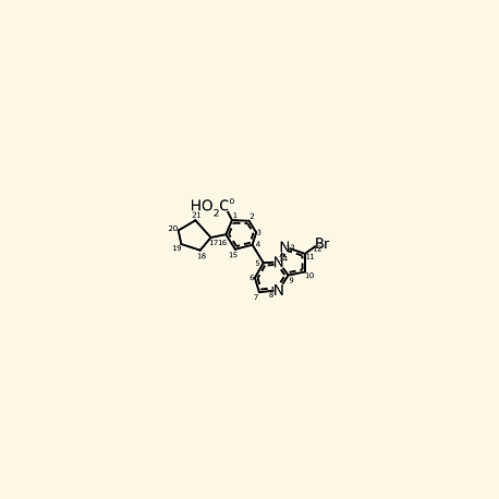 O=C(O)c1ccc(-c2ccnc3cc(Br)nn23)cc1C1CCCC1